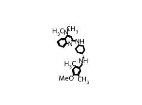 COc1cc(C)c(CNC[C@H]2CC[C@@H](Nc3cc(N(C)C)c4ccccc4n3)CC2)cc1C